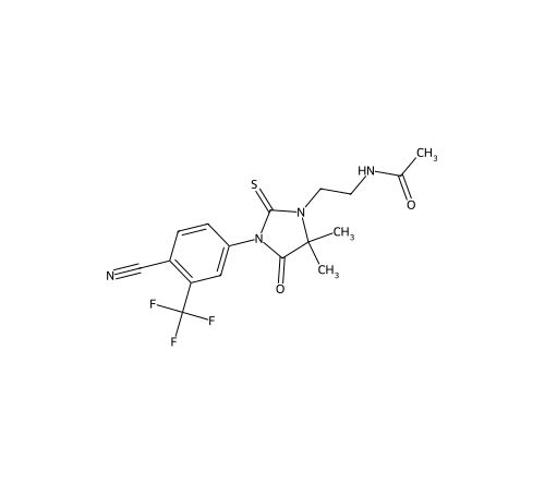 CC(=O)NCCN1C(=S)N(c2ccc(C#N)c(C(F)(F)F)c2)C(=O)C1(C)C